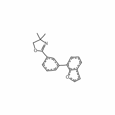 CC1(C)COC(c2cccc(-c3cccc4ccoc34)c2)=N1